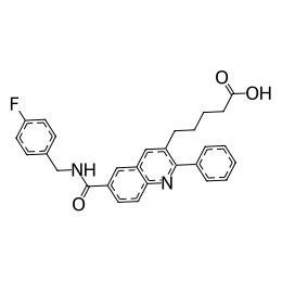 O=C(O)CCCCc1cc2cc(C(=O)NCc3ccc(F)cc3)ccc2nc1-c1ccccc1